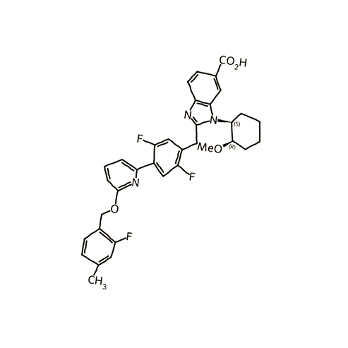 CO[C@@H]1CCCC[C@@H]1n1c(Cc2cc(F)c(-c3cccc(OCc4ccc(C)cc4F)n3)cc2F)nc2ccc(C(=O)O)cc21